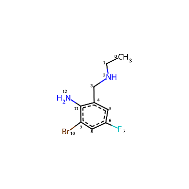 CCNCc1cc(F)cc(Br)c1N